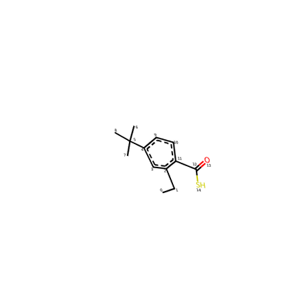 CCc1cc(C(C)(C)C)ccc1C(=O)S